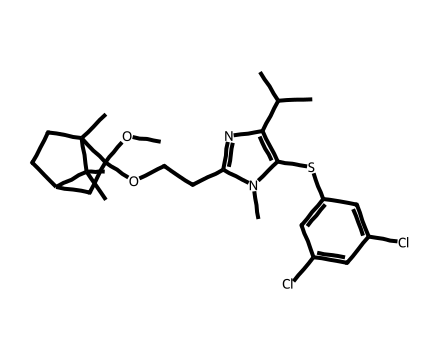 COC1(OCCc2nc(C(C)C)c(Sc3cc(Cl)cc(Cl)c3)n2C)CC2CCC1(C)C2(C)C